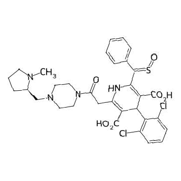 CN1CCC[C@@H]1CN1CCN(C(=O)CC2=C(C(=O)O)C(c3c(Cl)cccc3Cl)C(C(=O)O)=C(C(=S=O)c3ccccc3)N2)CC1